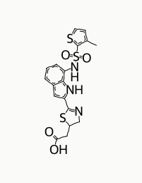 Cc1ccsc1S(=O)(=O)Nc1cccc2cc(C3=NCC(CC(=O)O)S3)[nH]c12